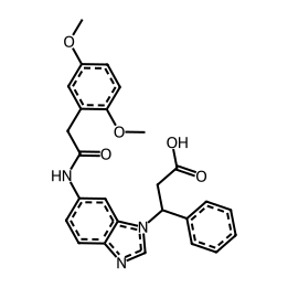 COc1ccc(OC)c(CC(=O)Nc2ccc3ncn(C(CC(=O)O)c4ccccc4)c3c2)c1